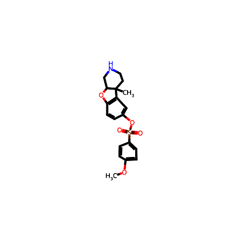 COc1ccc(S(=O)(=O)Oc2ccc3c(c2)C2(C)CCNCC2O3)cc1